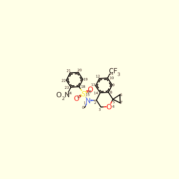 CN([C@@H]1COC2(CC2)c2cc(C(F)(F)F)ccc21)S(=O)(=O)c1ccccc1[N+](=O)[O-]